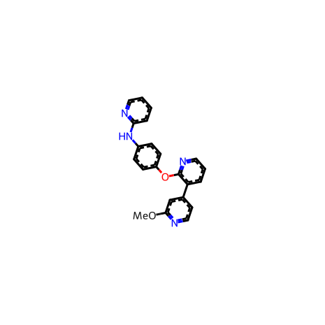 COc1cc(-c2cccnc2Oc2ccc(Nc3ccccn3)cc2)ccn1